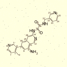 Cc1ccncc1-c1cc(N)c2cnc(NC(=O)C(=O)NCc3cccnc3)cc2c1